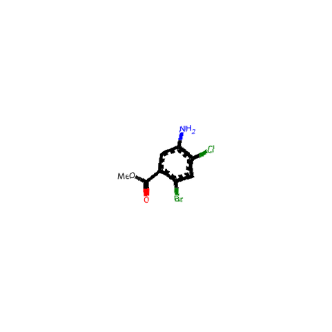 COC(=O)c1cc(N)c(Cl)cc1Br